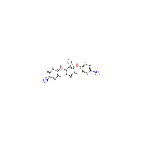 Cc1c(Oc2ccc(N)cc2)cccc1Oc1ccc(N)cc1